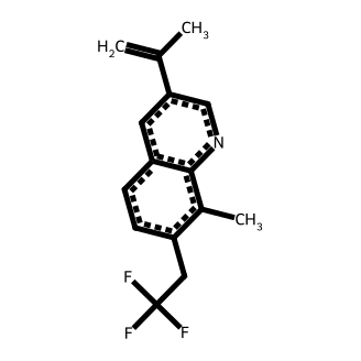 C=C(C)c1cnc2c(C)c(CC(F)(F)F)ccc2c1